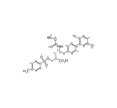 CCOC(=O)C(COS(=O)(=O)c1ccc(C)cc1)C[C@@H](Cc1ccc(-c2cc(Cl)ccc2F)cc1)NC(=O)OC(C)(C)C